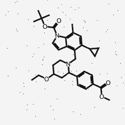 CCOC1CCN(Cc2c(C3CC3)cc(C)c3c2ccn3C(=O)OC(C)(C)C)C(c2ccc(C(=O)OC)cc2)C1